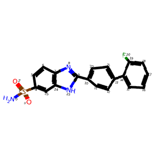 NS(=O)(=O)c1ccc2nc(-c3ccc(-c4ccccc4F)cc3)[nH]c2c1